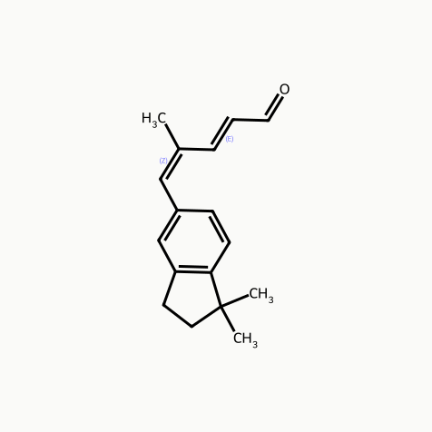 CC(=C/c1ccc2c(c1)CCC2(C)C)/C=C/C=O